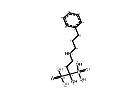 O=P(O)(O)C(O)(CCNCCCc1ccccc1)P(=O)(O)O